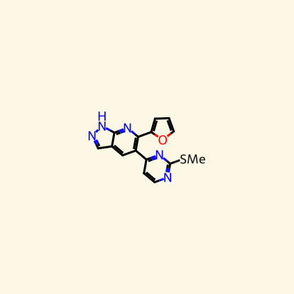 CSc1nccc(-c2cc3cn[nH]c3nc2-c2ccco2)n1